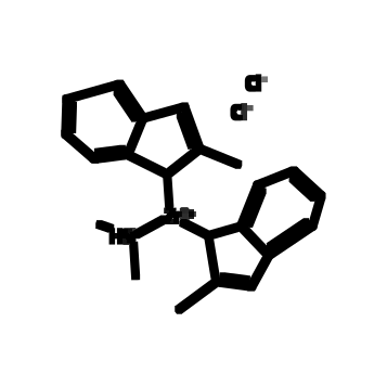 CC1=Cc2ccccc2[CH]1[Zr+2]([CH]1C(C)=Cc2ccccc21)[SiH](C)C.[Cl-].[Cl-]